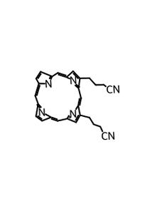 N#CCCCC1=CC2=NC1=CC1=NC(=CC3=NC(=CC4=NC(=C2)C=C4)C=C3)C=C1CCCC#N